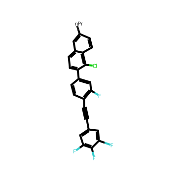 CCCc1ccc2c(Cl)c(-c3ccc(C#Cc4cc(F)c(F)c(F)c4)c(F)c3)ccc2c1